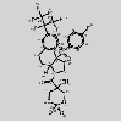 CC1(C(=O)N2CC[C@@]3(S(=O)(=O)c4ccc(F)cc4)c4ccc(C(F)(C(F)(F)F)C(F)(F)F)cc4CC[C@@H]23)COP(=O)(O)OC1